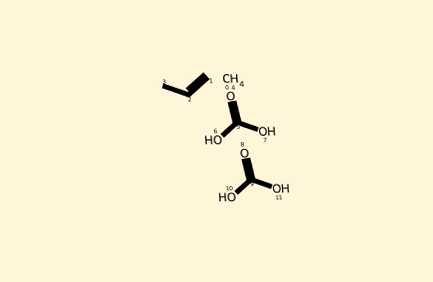 C.C=CC.O=C(O)O.O=C(O)O